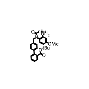 CCCCC(=O)N(Cc1ccc(-c2ccccc2C(=O)OC(C)(C)C)cc1)c1ccc(OC)cc1N